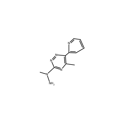 Cc1nc(N(C)N)nnc1-c1ccccn1